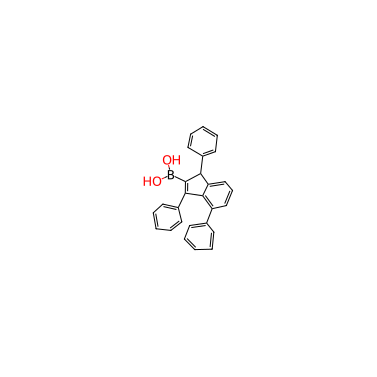 OB(O)C1=C(c2ccccc2)c2c(-c3ccccc3)cccc2C1c1ccccc1